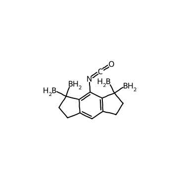 BC1(B)CCc2cc3c(c(N=C=O)c21)C(B)(B)CC3